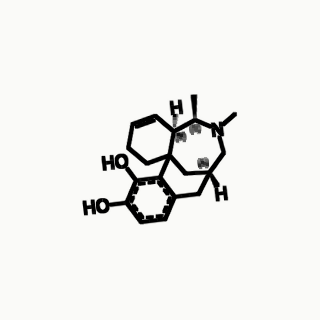 C[C@@H]1[C@@H]2C=CCCC23C[C@@H](Cc2ccc(O)c(O)c23)CN1C